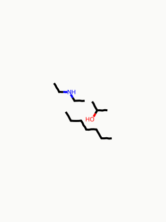 CC(C)O.CCCCCCC.CCNCC